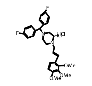 COc1ccc(/C=C/CN2CCN(C(c3ccc(F)cc3)c3ccc(F)cc3)CC2)c(OC)c1OC.Cl.Cl